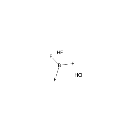 Cl.F.FB(F)F